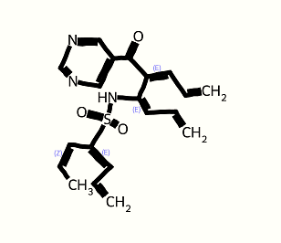 C=C/C=C(NS(=O)(=O)C(/C=C\C)=C/C=C)\C(=C/C=C)C(=O)c1cncnc1